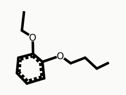 CCCCOc1ccccc1OCC